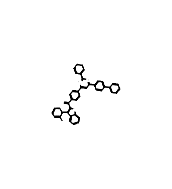 C=C(c1ccc(-c2cc(-c3ccc(-c4ccccc4)cc3)nc(C3=CCCC=C3)n2)cc1)c1sc2ccccc2c1C1CC=CC=C1C